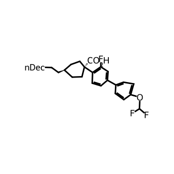 CCCCCCCCCCCC[C@H]1CC[C@@](C(=O)O)(c2ccc(-c3ccc(OC(F)F)cc3)cc2F)CC1